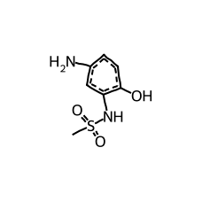 CS(=O)(=O)Nc1cc(N)ccc1O